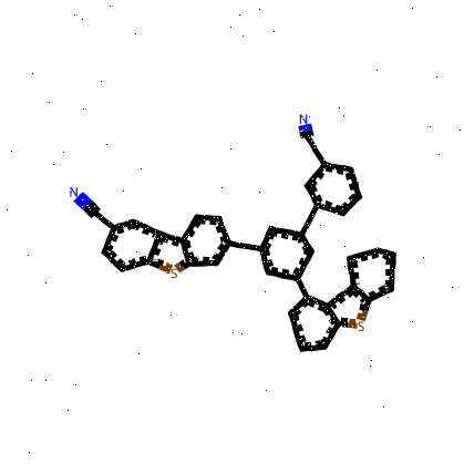 N#Cc1cccc(-c2cc(-c3ccc4c(c3)sc3ccc(C#N)cc34)cc(-c3cccc4sc5ccccc5c34)c2)c1